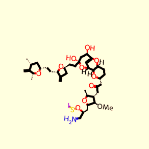 C=C1C[C@H](CC[C@@]2(O)C[C@@H](O)C3=C[C@@H](O2)[C@H]2O[C@@H](CC(=O)C[C@@H]4[C@@H](OC)[C@@H](C[C@@H](CN)OSI)O[C@H]4C)CC[C@@H]2O3)O[C@H]1CC[C@H]1C[C@@H](C)C(=C)[C@@H](C)O1